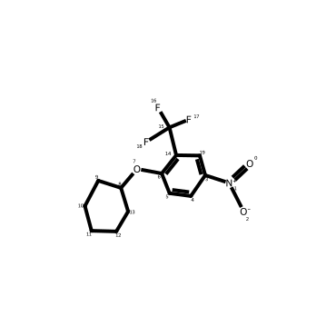 O=[N+]([O-])c1ccc(OC2CCCCC2)c(C(F)(F)F)c1